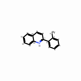 CC(C)c1ccccc1-c1ccc2ccccc2n1